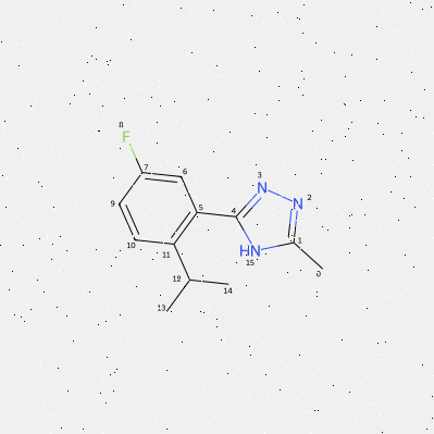 Cc1nnc(-c2cc(F)ccc2C(C)C)[nH]1